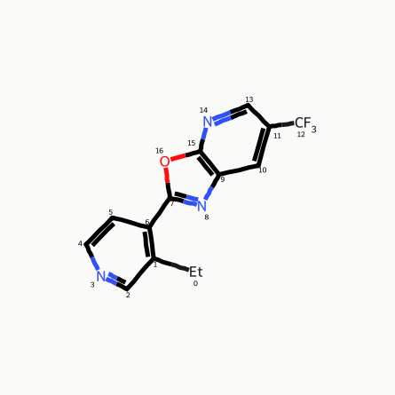 CCc1cnccc1-c1nc2cc(C(F)(F)F)cnc2o1